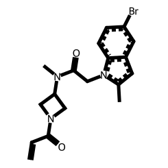 C=CC(=O)N1CC(N(C)C(=O)Cn2c(C)cc3cc(Br)ccc32)C1